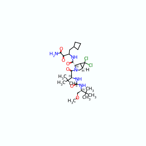 COC[C@@H](NC(=O)N[C@H](C(=O)N1C[C@H]2C([C@H]1C(=O)NC(CC1CCC1)C(=O)C(N)=O)C2(Cl)Cl)C(C)(C)C)C(C)(C)C